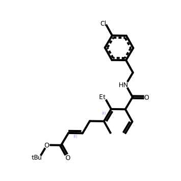 C=CC(C(=O)NCc1ccc(Cl)cc1)/C(CC)=C(\C)C/C=C/C(=O)OC(C)(C)C